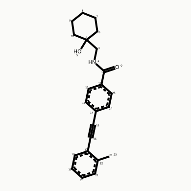 O=C(NCC1(O)CCCCC1)c1ccc(C#Cc2ccccc2F)cc1